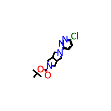 CC(C)(C)OC(=O)N1CC2CN(c3ccc(Cl)nn3)CC2C1